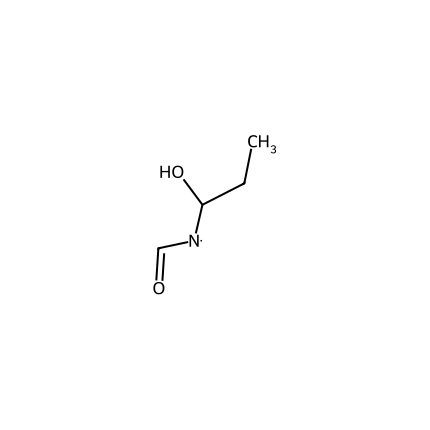 CCC(O)[N]C=O